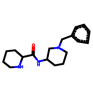 O=C(NC1CCCN(Cc2ccccc2)C1)C1CCCCN1